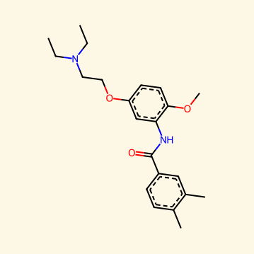 CCN(CC)CCOc1ccc(OC)c(NC(=O)c2ccc(C)c(C)c2)c1